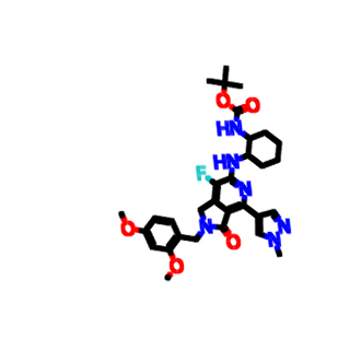 COc1ccc(CN2Cc3c(F)c(NC4CCCCC4NC(=O)OC(C)(C)C)nc(-c4cnn(C)c4)c3C2=O)c(OC)c1